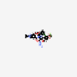 CCOc1c(C(N)=O)cc([C@@](O)(CNC(=O)c2cc(OC)c3nn(C4CC4)cc3c2)c2ccccc2)nc1-c1ccc2c(c1Cl)OC(F)(F)O2